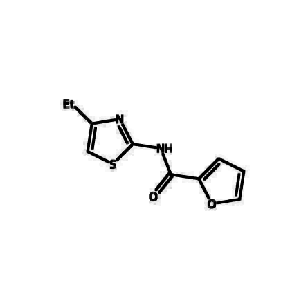 CCc1csc(NC(=O)c2ccco2)n1